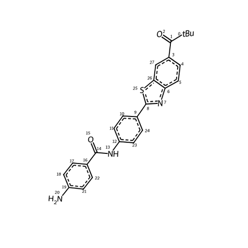 CC(C)(C)C(=O)c1ccc2nc(-c3ccc(NC(=O)c4ccc(N)cc4)cc3)sc2c1